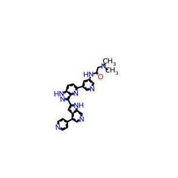 CN(C)CC(=O)Nc1cncc(-c2ccc3[nH]nc(-c4cc5c(-c6ccncc6)cncc5[nH]4)c3n2)c1